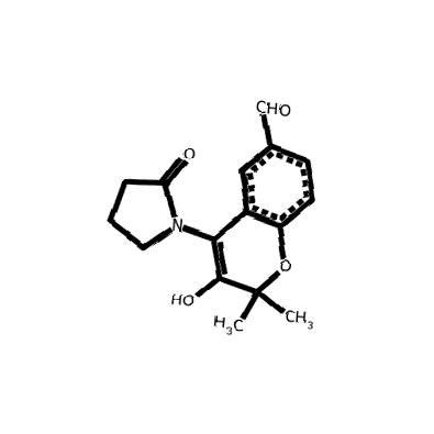 CC1(C)Oc2ccc(C=O)cc2C(N2CCCC2=O)=C1O